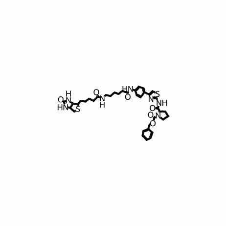 O=C(CCCCC1SCC2NC(=O)NC21)NCCCCCC(=O)Nc1ccc(-c2csc(NC(=O)C3CCCN3C(=O)OCc3ccccc3)n2)cc1